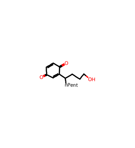 CCCCCC(CCCO)C1=CC(=O)C=CC1=O